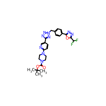 CC(C)(C)OC(=O)N1CCN(c2ccc(-c3nnn(Cc4ccc(-c5nnc(C(F)F)o5)cc4)n3)cn2)CC1